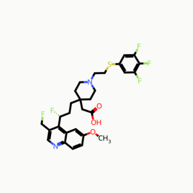 COc1ccc2ncc(CF)c([C@H](F)CCC3(CC(=O)O)CCN(CCSc4cc(F)c(F)c(F)c4)CC3)c2c1